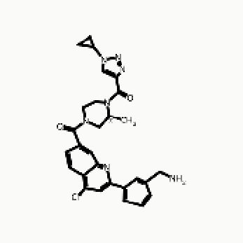 C[C@H]1CN(C(=O)c2ccc3c(Cl)cc(-c4cccc(CN)c4)nc3c2)CCN1C(=O)c1cn(C2CC2)nn1